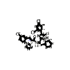 O=C(/C=C/c1cc(Cl)ccc1-n1cnnn1)N[C@@H](Cc1ccccc1)c1nc(-c2ccc(Cl)cc2Cl)c(Cl)[nH]1